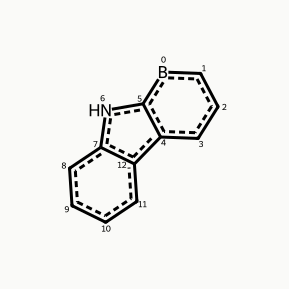 b1cccc2c1[nH]c1ccccc12